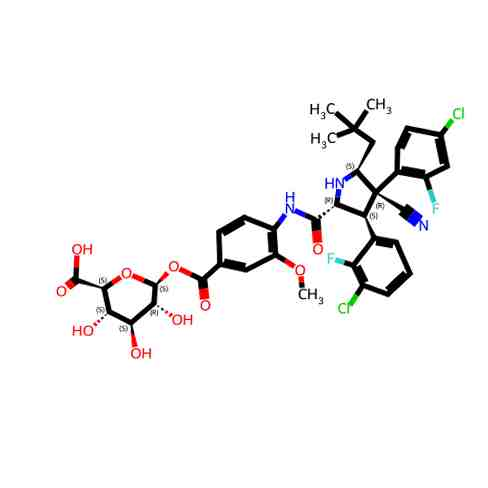 COc1cc(C(=O)O[C@@H]2O[C@H](C(=O)O)[C@@H](O)[C@H](O)[C@H]2O)ccc1NC(=O)[C@@H]1N[C@@H](CC(C)(C)C)[C@](C#N)(c2ccc(Cl)cc2F)[C@H]1c1cccc(Cl)c1F